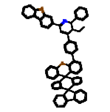 CCC1C(c2ccc(-c3cccc4c3Sc3ccccc3C43c4ccccc4C4(c5ccccc5-c5ccccc54)c4ccccc43)cc2)=CC(c2ccc3c(c2)sc2ccccc23)=NC1c1ccccc1